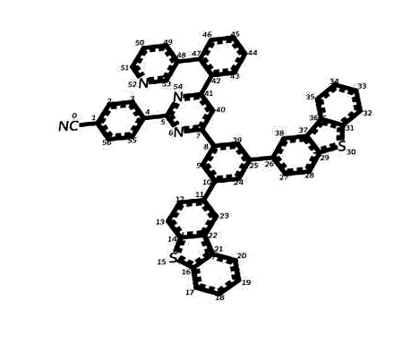 N#Cc1ccc(-c2nc(-c3cc(-c4ccc5sc6ccccc6c5c4)cc(-c4ccc5sc6ccccc6c5c4)c3)cc(-c3ccccc3-c3cccnc3)n2)cc1